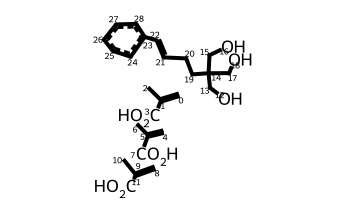 C=C(C)C(=O)O.C=C(C)C(=O)O.C=C(C)C(=O)O.OCC(CO)(CO)CCC=Cc1ccccc1